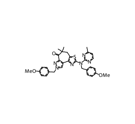 COc1ccc(CN(c2nccc(C)n2)c2nc3c(s2)CC(C)(C)C(=O)c2nn(Cc4ccc(OC)cc4)cc2-3)cc1